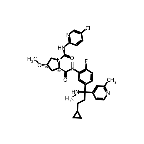 CNC(CCC1CC1)(c1ccnc(C)c1)c1ccc(F)c(NC(=O)[C@H]2C[C@@H](OC)CN2C(=O)Nc2ccc(Cl)cn2)c1